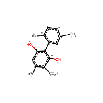 CCCc1cc(O)c(-c2cc(C)ccc2C(C)(C)C)c(O)c1C(=O)O